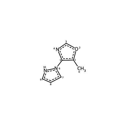 Cc1ocnc1-n1cc[c]n1